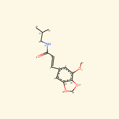 COc1cc(/C=C/C(=O)NCC(C)C)cc2c1OCO2